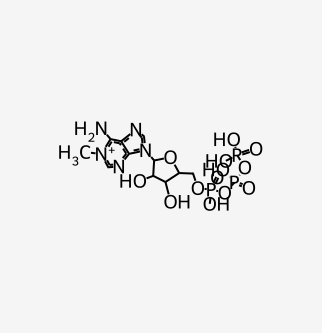 C[n+]1cnc2c(ncn2C2OC(COP(=O)(O)OP(=O)(O)OP(=O)(O)O)C(O)C2O)c1N